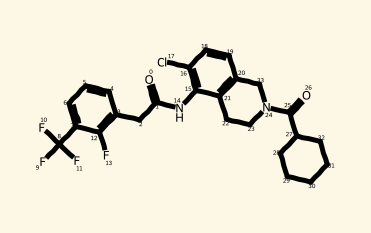 O=C(Cc1cccc(C(F)(F)F)c1F)Nc1c(Cl)ccc2c1CCN(C(=O)C1CCCCC1)C2